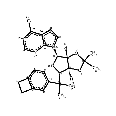 CC1(C)O[C@@H]2[C@@H](O1)[C@@H](C(C)(O)c1ccc3c(c1)CC3)O[C@H]2n1ccc2c(Cl)ncnc21